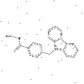 CONC(=O)c1ccc(Cn2c3ccccc3c3ccccc32)cc1